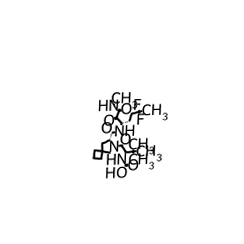 CNC(=O)C(=O)[C@H](CCC(C)(F)F)NC(=O)[C@H]1CC2(CCC2)CN1C(=O)[C@@H](NC(=O)O)C(C)(C)C